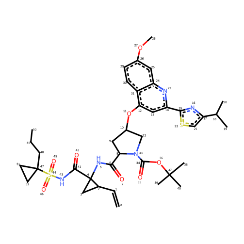 C=CC1CC1(NC(=O)C1CC(Oc2cc(-c3nc(C(C)C)cs3)nc3cc(OC)ccc23)CN1C(=O)OC(C)(C)C)C(=O)NS(=O)(=O)C1(CCC)CC1